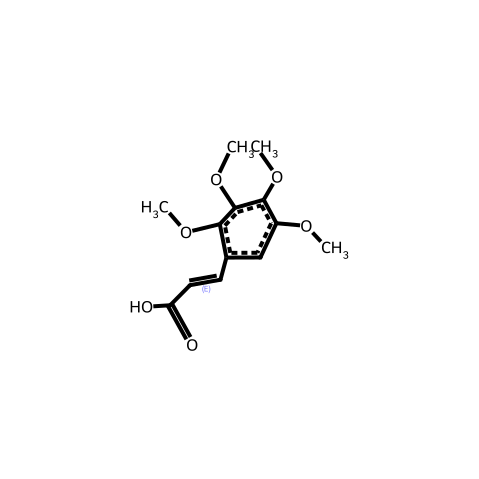 COc1cc(/C=C/C(=O)O)c(OC)c(OC)c1OC